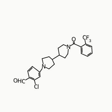 O=Cc1ccc(N2CCC(C3CCN(C(=O)c4ccccc4C(F)(F)F)CC3)CC2)cc1Cl